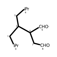 CC(C)CC(CC(C)C)C([C]=O)CC=O